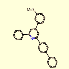 CSc1cccc(-c2cc(-c3ccccc3)nc(-c3ccc(-c4ccccc4)cc3)c2)c1